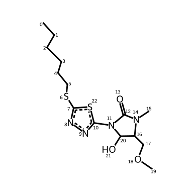 CCCCCCSc1nnc(N2C(=O)N(C)C(COC)C2O)s1